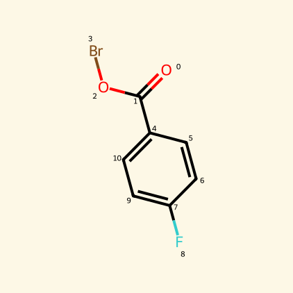 O=C(OBr)c1ccc(F)cc1